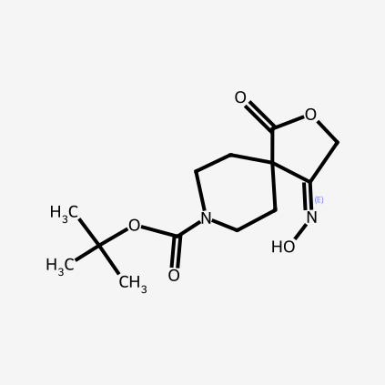 CC(C)(C)OC(=O)N1CCC2(CC1)C(=O)OC/C2=N/O